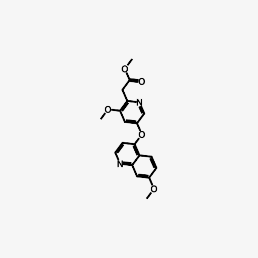 COC(=O)Cc1ncc(Oc2ccnc3cc(OC)ccc23)cc1OC